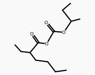 CCCCC(CC)C(=O)OC(=O)OC(C)CC